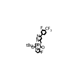 CC(C)(C)OC(=O)N1CC[C@H](F)[C@H]1C(=O)NCc1cc(-c2ccc(C(F)(F)F)c(F)c2)ncn1